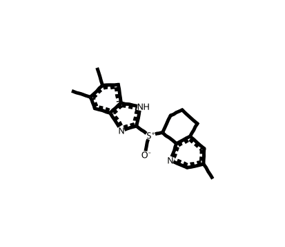 Cc1cnc2c(c1)CCCC2[S+]([O-])c1nc2cc(C)c(C)cc2[nH]1